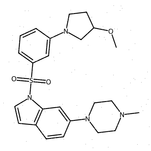 COC1CCN(c2cccc(S(=O)(=O)n3ccc4ccc(N5CCN(C)CC5)cc43)c2)C1